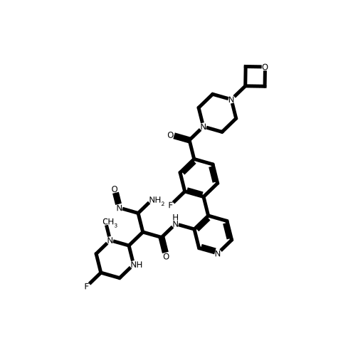 CN1CC(F)CNC1C(C(=O)Nc1cnccc1-c1ccc(C(=O)N2CCN(C3COC3)CC2)cc1F)C(N)N=O